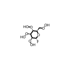 OOC[C@H]1O[C@H](F)[C@@H](OO)[C@@H](OO)[C@@H]1OO